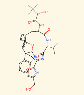 CC(C)C1NC(=O)C(NC(=O)[C@@H](O)C(C)(C)C)Cc2ccc3c(c2)C2(c4ccccc4NC2O3)c2oc1nc2-c1nc(CO)co1